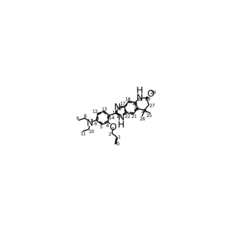 C=CCOc1cc(N(CC)CC)ccc1-c1nc2cc3c(cc2[nH]1)C(C)(C)CC(=O)N3